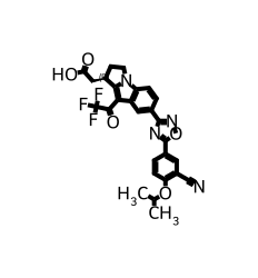 CC(C)Oc1ccc(-c2nc(-c3ccc4c(c3)c(C(=O)C(F)(F)F)c3n4CC[C@@H]3CC(=O)O)no2)cc1C#N